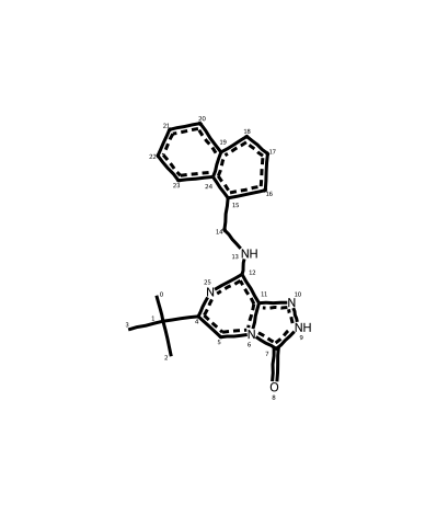 CC(C)(C)c1cn2c(=O)[nH]nc2c(NCc2cccc3ccccc23)n1